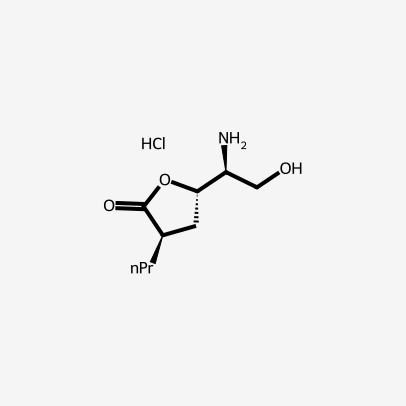 CCC[C@@H]1C[C@@H]([C@@H](N)CO)OC1=O.Cl